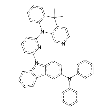 CC1(C)c2ccccc2N(c2cccc(-n3c4ccccc4c4cc(N(c5ccccc5)c5ccccc5)ccc43)n2)c2cnccc21